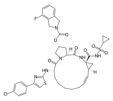 O=C1N[C@]2(C(=O)NS(=O)(=O)C3CC3)C[C@H]2/C=C\CCCCC[C@H](Nc2nc(-c3ccc(Cl)cc3)cs2)C(=O)N2C[C@H](OC(=O)N3Cc4cccc(F)c4C3)C[C@@H]12